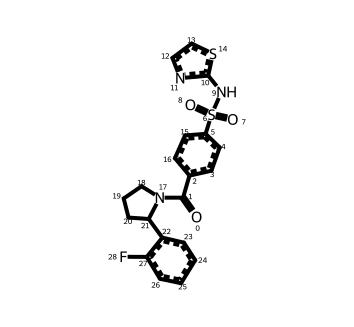 O=C(c1ccc(S(=O)(=O)Nc2nccs2)cc1)N1CCCC1c1ccccc1F